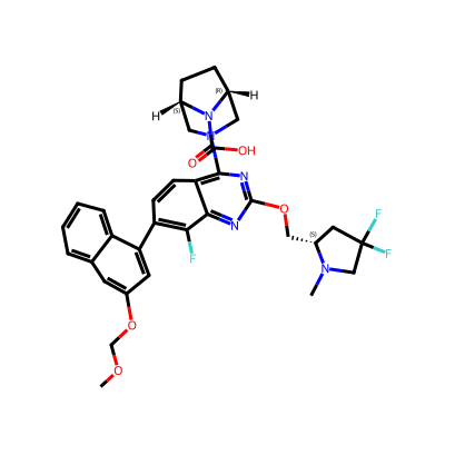 COCOc1cc(-c2ccc3c(N4C[C@H]5CC[C@@H](C4)N5C(=O)O)nc(OC[C@@H]4CC(F)(F)CN4C)nc3c2F)c2ccccc2c1